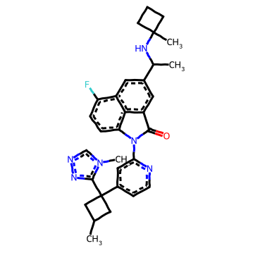 CC1CC(c2ccnc(N3C(=O)c4cc(C(C)NC5(C)CCC5)cc5c(F)ccc3c45)c2)(c2nncn2C)C1